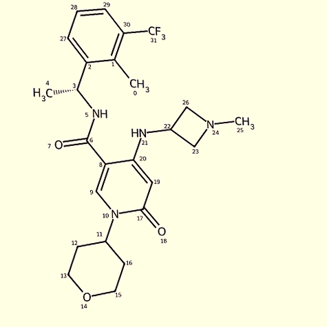 Cc1c([C@@H](C)NC(=O)c2cn(C3CCOCC3)c(=O)cc2NC2CN(C)C2)cccc1C(F)(F)F